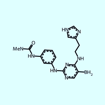 Bc1cnc(Nc2cccc(NC(=O)NC)c2)nc1NCCc1c[nH]cn1